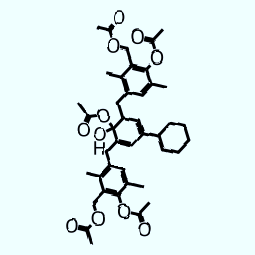 CC(=O)OCc1c(C)c(CC2=CC(C3CCCCC3)=CC(Cc3cc(C)c(OC(C)=O)c(COC(C)=O)c3C)C2(O)OC(C)=O)cc(C)c1OC(C)=O